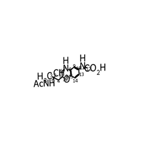 CC(=O)NC(C)(C)CC1CNc2cc(NC(=O)O)ccc2O1